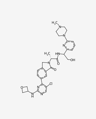 C[C@H](C(=O)NC(CO)c1cccc(N2CCN(C)CC2)n1)N1Cc2ccc(-c3nc(NC4COC4)ncc3Cl)cc2C1=O